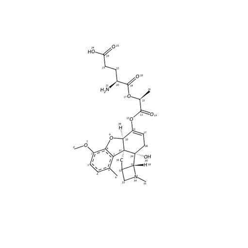 COc1ccc(C)c2c1O[C@H]1C(OC(=O)[C@H](C)OC(=O)[C@@H](N)CCC(=O)O)=CC[C@@]3(O)[C@H]4C(CN4C)C[C@]213